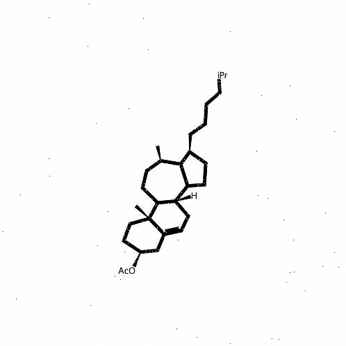 CC(=O)O[C@H]1CC[C@@]2(C)C(=CC[C@H]3C4CC[C@H](CCCCC(C)C)C4[C@H](C)CCC32)C1